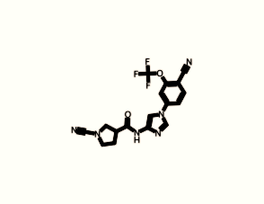 N#Cc1ccc(-n2cnc(NC(=O)C3CCN(C#N)C3)c2)cc1OC(F)(F)F